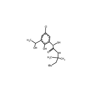 CC(O)c1cc(Cl)cc(N(S)C(=O)NC(C)(C)CC(C)(C)C)c1O